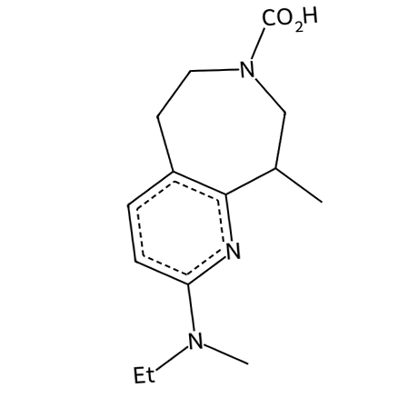 CCN(C)c1ccc2c(n1)C(C)CN(C(=O)O)CC2